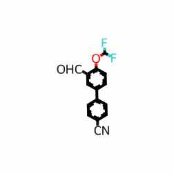 N#Cc1ccc(-c2ccc(OC(F)F)c(C=O)c2)cc1